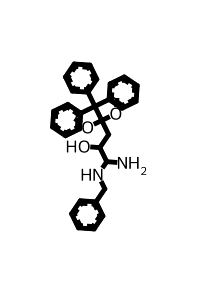 COC(CC(O)C(N)NCc1ccccc1)(OC)C(c1ccccc1)(c1ccccc1)c1ccccc1